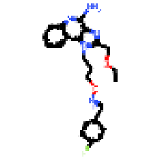 CCOCc1nc2c(N)nc3ccccc3c2n1CCCO/N=C/c1ccc(F)cc1